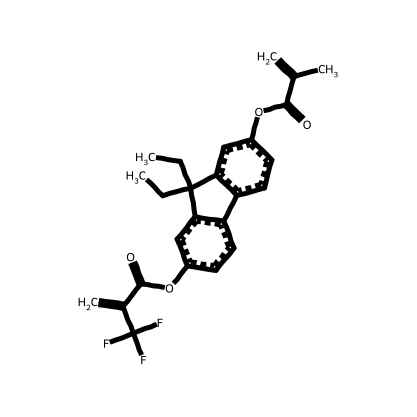 C=C(C)C(=O)Oc1ccc2c(c1)C(CC)(CC)c1cc(OC(=O)C(=C)C(F)(F)F)ccc1-2